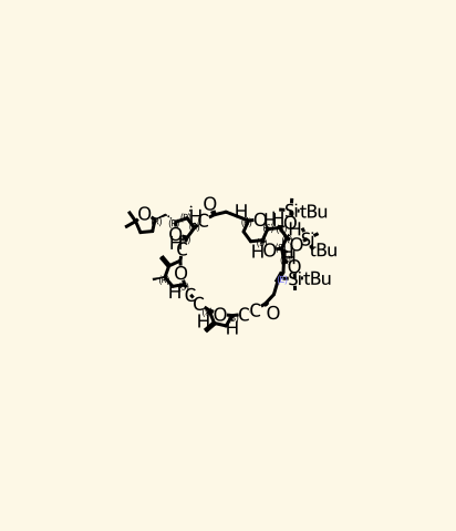 C=C1C2C[C@@H]3O[C@H](C[C@H]4CCC(C)(C)O4)[C@H](C)[C@H]3CC(=O)C[C@H]3CC[C@@H]4O[C@H]([C@@H](O[Si](C)(C)C(C)(C)C)[C@@H](O[Si](C)(C)C(C)(C)C)[C@H]4O3)[C@@H](O[Si](C)(C)C(C)(C)C)/C=C/CC(=O)CC[C@H]3CC(=C)[C@H](CC[C@@H](C[C@H]1C)O2)O3